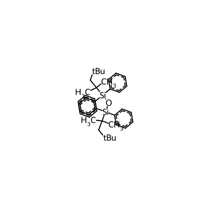 CC(C)(C)CC(C)(C)[Si](O[Si](c1ccccc1)(c1ccccc1)C(C)(C)CC(C)(C)C)(c1ccccc1)c1ccccc1